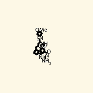 COc1ccc2nc(C(CCCc3cccc(CN)c3)NS(=O)(=O)c3cccc(C(=O)N(C)CCN)c3)sc2c1